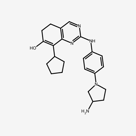 NC1CCN(c2ccc(Nc3ncc4c(n3)C(C3CCCC3)=C(O)CC4)cc2)C1